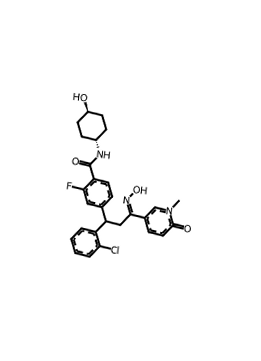 Cn1cc(C(CC(c2ccc(C(=O)N[C@H]3CC[C@H](O)CC3)c(F)c2)c2ccccc2Cl)=NO)ccc1=O